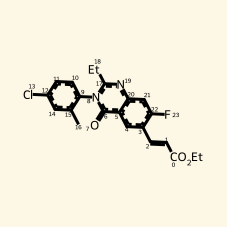 CCOC(=O)/C=C/c1cc2c(=O)n(-c3ccc(Cl)cc3C)c(CC)nc2cc1F